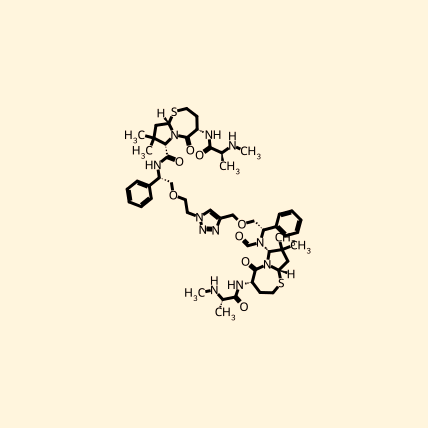 CN[C@@H](C)C(=O)N[C@H]1CCS[C@H]2CC(C)(C)[C@@H](C(=O)N[C@H](COCCn3cc(COC[C@H](c4ccccc4)N(C=O)[C@H]4N5C(=O)[C@@H](NC(=O)[C@H](C)NC)CCS[C@H]5CC4(C)C)nn3)c3ccccc3)N2C1=O